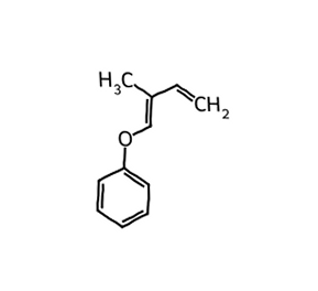 C=C/C(C)=C/Oc1ccccc1